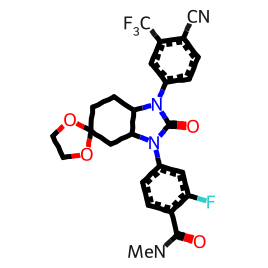 CNC(=O)c1ccc(N2C(=O)N(c3ccc(C#N)c(C(F)(F)F)c3)C3CCC4(CC32)OCCO4)cc1F